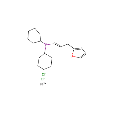 C(=CP(C1CCCCC1)C1CCCCC1)Cc1ccco1.[Cl-].[Cl-].[Ni+2]